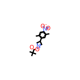 Cc1cc([N+](=O)[O-])c(C)cc1C1CN(OC(=O)C(C)(C)C)C1